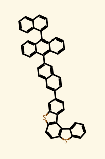 c1ccc2c(-c3c4ccccc4c(-c4ccc5cc(-c6ccc7c(c6)sc6ccc8sc9ccccc9c8c67)ccc5c4)c4ccccc34)cccc2c1